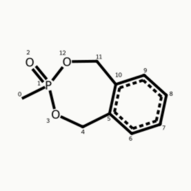 CP1(=O)OCc2ccccc2CO1